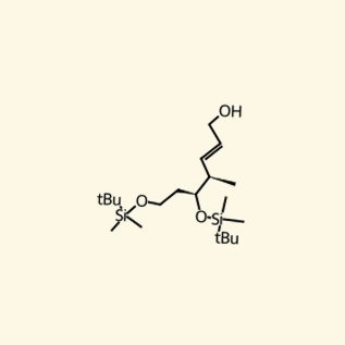 C[C@H](C=CCO)[C@H](CCO[Si](C)(C)C(C)(C)C)O[Si](C)(C)C(C)(C)C